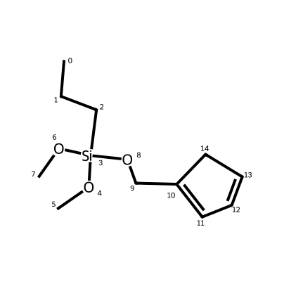 CCC[Si](OC)(OC)OCC1=CC=CC1